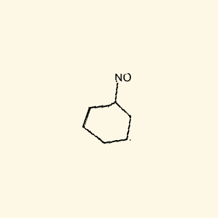 O=NC1C[CH]CCC1